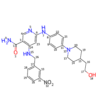 NC(=O)c1cnc(Nc2ccc(N3CCC(CCO)CC3)cc2)cc1NCc1cccc([N+](=O)[O-])c1